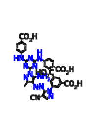 [C-]#[N+]c1cnn(-c2cc(C(=O)O)cc(C(=O)O)c2)c1/N=N/c1c(C)nn(-c2nc(Nc3ccc(C(=O)O)cc3)nc(Nc3ccc(C(=O)O)cc3)n2)c1N